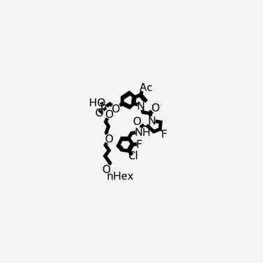 CCCCCCOCCCCOCCCOP(=O)(O)COc1ccc2c(C(C)=O)cn(CC(=O)N3C[C@H](F)C[C@H]3C(=O)NCc3cccc(Cl)c3F)c2c1